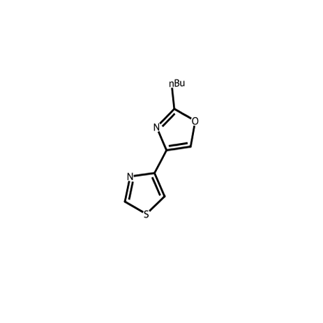 CCCCc1nc(-c2cscn2)co1